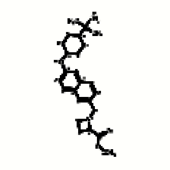 COC(=O)C1CCN1Cc1ccc2cc(OC3CCC(C(C)(C)C)CC3)ccc2c1